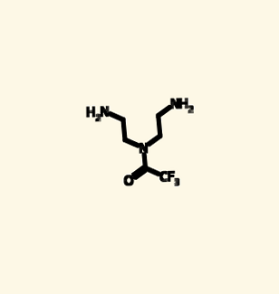 NCCN(CCN)C(=O)C(F)(F)F